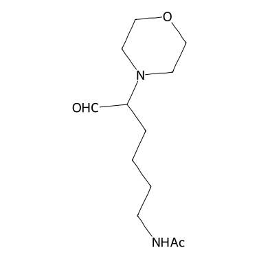 CC(=O)NCCCCC(C=O)N1CCOCC1